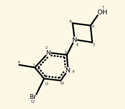 Cc1nc(N2CC(O)C2)ncc1Br